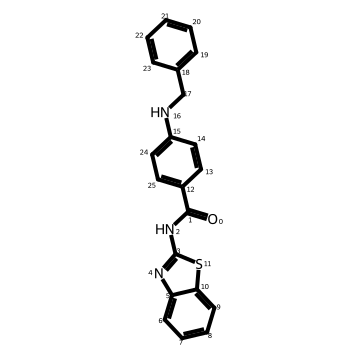 O=C(Nc1nc2ccccc2s1)c1ccc(NCc2ccccc2)cc1